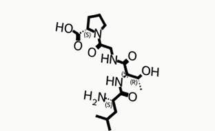 CC(C)C[C@H](N)C(=O)N[C@H](C(=O)NCC(=O)N1CCC[C@H]1C(=O)O)[C@@H](C)O